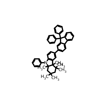 CC1(C)CC(C)(C)C2(C)c3cc(-c4ccc5c(c4)C(c4ccccc4)(c4ccccc4)c4ccccc4-5)ccc3N(c3ccccc3)C2(C)C1